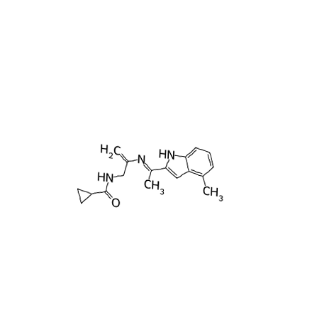 C=C(CNC(=O)C1CC1)/N=C(\C)c1cc2c(C)cccc2[nH]1